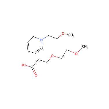 COCCN1C=CC=CC1.COCCOCCC(=O)O